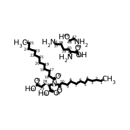 CCCCCCCCCCCC(=O)N(C(=O)CCCCCCCCCCC)[C@@H](CCC(=O)O)C(=O)O.NCCCC[C@H](N)C(=O)O.NCCO